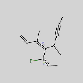 C=C/C(C)=C(\C(F)=C/C)C(C)C#CC